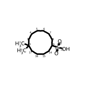 CC1(C)CCCCCCC(S(=O)(=O)O)CCCC1